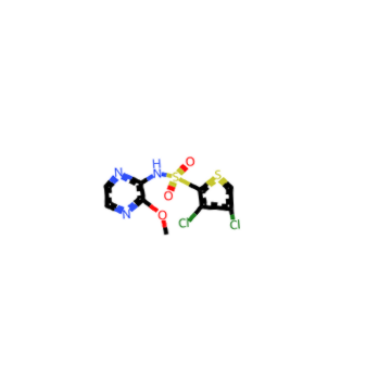 COc1nccnc1NS(=O)(=O)c1scc(Cl)c1Cl